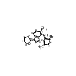 Cc1cnc(Br)c(Nc2c(C)ccc3c2cnn3C2CCCCO2)c1